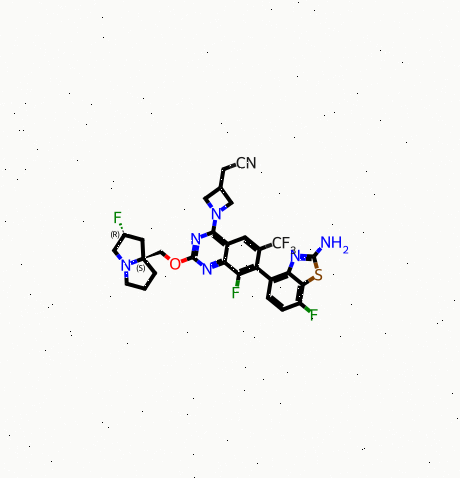 N#CCC1CN(c2nc(OC[C@@]34CCCN3C[C@H](F)C4)nc3c(F)c(-c4ccc(F)c5sc(N)nc45)c(C(F)(F)F)cc23)C1